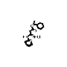 CC(OC(=O)CC(=S)Nc1ccccn1)C1CCCCC1.Cl